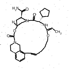 CC=C1N[C@@H](C2CCCC2)C(=O)N2C[C@@H](C[C@H]2C(N)=O)OC(=O)N2CCc3cccc(c3C2)/C=C/CCCO1